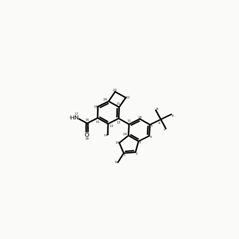 CC1=Cc2cc(C(C)(C)C)cc(-c3c(C)c(C([NH])=O)cc4c3CC4)c2C1